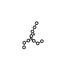 CC1(C)c2cc(-c3ccc(-c4ccccc4)cc3)ccc2-c2ccc(N(c3ccc(-c4cccc(-c5ccccc5)c4)cc3)c3ccc(-c4cccc(-c5ccccc5)c4)cc3)cc21